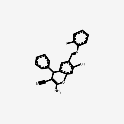 N#CC1=C(N)Oc2cc(O)c(C=Nc3ccccc3I)cc2C1c1ccccc1